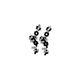 Cc1cnc(NCc2ccc(-c3nn(C4CCC(N5CCN(C)CC5)CC4)c4ncnc(N)c34)cc2)s1.Cc1csc(NCc2ccc(-c3nn(C4CCC(N5CCN(C)CC5)CC4)c4ncnc(N)c34)cc2)n1